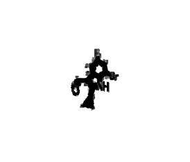 O=Cc1c(C2CC2)[nH]c2c(Br)cc(F)cc12